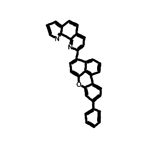 c1ccc(-c2ccc3c(c2)Oc2ccc(-c4ccc5ccc6cccnc6c5n4)c4cccc-3c24)cc1